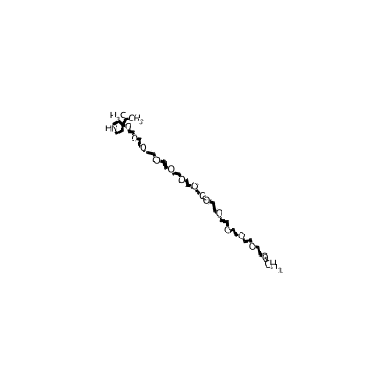 COCCOCCOCCOCCOCCOCCOCCOCCOCCOCCOCCOCCOC1(C(C)C)CCNCC1